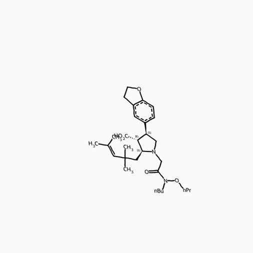 CCCCN(OCCC)C(=O)CN1C[C@H](c2ccc3c(c2)CCO3)[C@@H](C(=O)O)[C@@H]1CC(C)(C)C=C(C)C